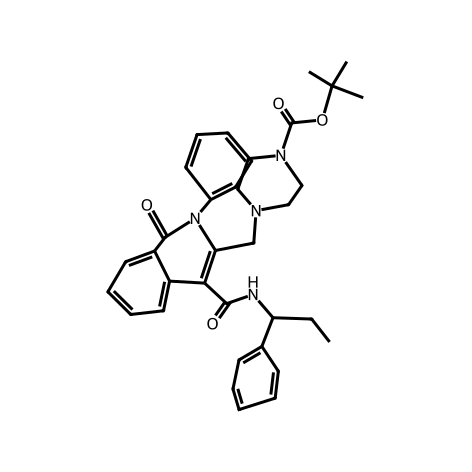 CCC(NC(=O)c1c(CN2CCN(C(=O)OC(C)(C)C)CC2)n(-c2ccccc2)c(=O)c2ccccc12)c1ccccc1